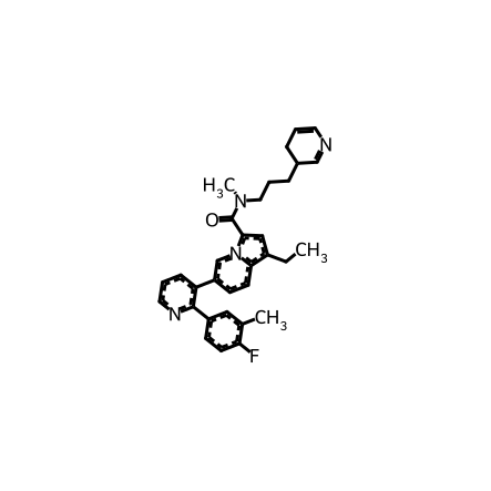 CCc1cc(C(=O)N(C)CCCC2C=NC=CC2)n2cc(-c3cccnc3-c3ccc(F)c(C)c3)ccc12